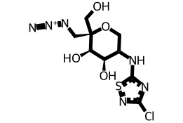 [N-]=[N+]=NC[C@@]1(CO)OCC(Nc2nc(Cl)ns2)[C@@H](O)[C@H]1O